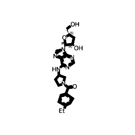 CCc1ccc(C(=O)N2CCC(Nc3ncnc4c3ncn4[C@@H]3O[C@H](CO)C[C@H]3O)C2)cc1